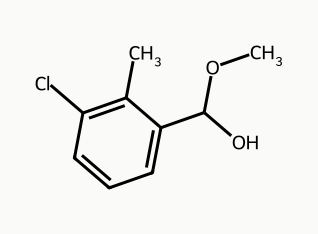 COC(O)c1cccc(Cl)c1C